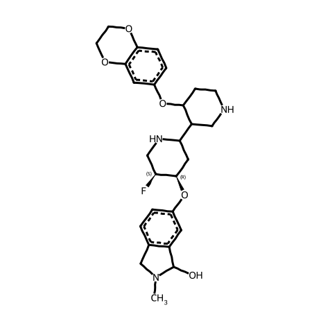 CN1Cc2ccc(O[C@@H]3CC(C4CNCCC4Oc4ccc5c(c4)OCCO5)NC[C@@H]3F)cc2C1O